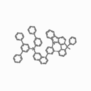 CC1(c2ccccc2)c2cccc3c2-c2c1ccc1c4ccccc4n(c21)-c1ccc(-c2cccc4ccc(N(c5cccc(-c6ccccc6)c5)c5cc(-c6ccccc6)cc(-c6ccccc6)c5)cc24)cc1-3